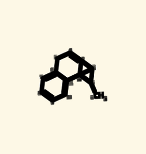 CC1[C]2C3=CCc4ccccc4C231